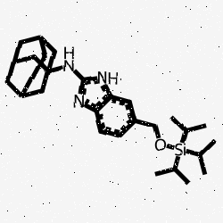 CC(C)[Si](OCc1ccc2nc(NC34CC5CC(CC(C5)C3)C4)[nH]c2c1)(C(C)C)C(C)C